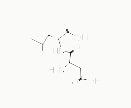 CC(C)C[C@H](NC(=O)[C@H](N)CC(=O)O)C(=O)O